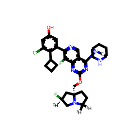 [2H]C1([2H])CC[C@]2(COc3nc(N4CC5CCC4CN5)c4cnc(-c5cc(O)cc(Cl)c5C5CCC5)c(F)c4n3)C[C@]([2H])(F)CN12